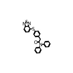 O=C(Cc1ccc(Sc2cccc3nsnc23)cc1)N(c1ccccc1)c1ccccc1